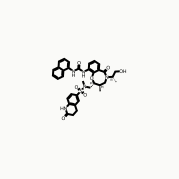 C[C@@H]1CN([C@@H](C)CO)C(=O)c2cccc(NC(=O)Nc3cccc4ccccc34)c2O[C@H]1CN(C)S(=O)(=O)c1ccc2c(c1)CCC(=O)N2